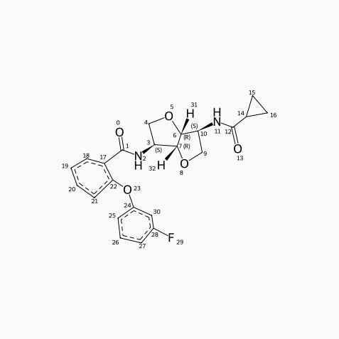 O=C(N[C@H]1CO[C@H]2[C@@H]1OC[C@@H]2NC(=O)C1CC1)c1ccccc1Oc1cccc(F)c1